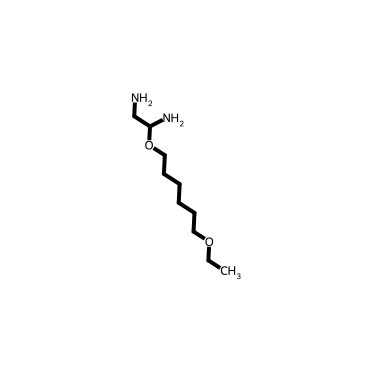 CCOCCCCCCOC(N)CN